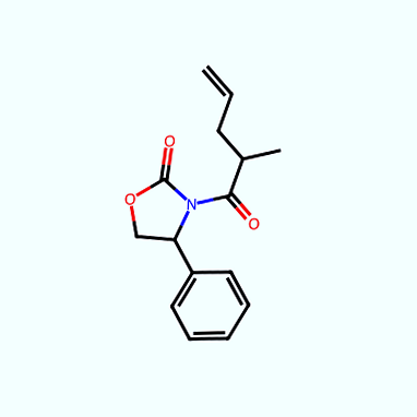 C=CCC(C)C(=O)N1C(=O)OCC1c1ccccc1